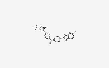 Cc1ccc2oc(N3CCN(C(=O)c4ccc(-c5nc(C(C)(C)C)nn5C)cc4)CC3)nc2n1